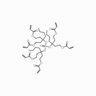 C=CC(=O)OCCC(CCCC)(CCOC(=O)C=C)OP(=O)(OC(CCCC)(CCOC(=O)C=C)CCOC(=O)C=C)OC(CCCC)(CCOC(=O)C=C)CCOC(=O)C=C